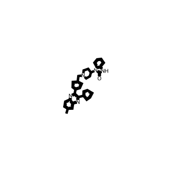 Cc1ccc2nc(-c3ccc(CN4CCC(n5c(=O)[nH]c6ccccc65)CC4)cc3)c(-c3ccccc3)nc2c1